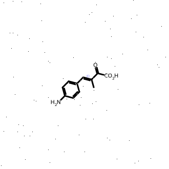 C/C(=C\c1ccc(N)cc1)C(=O)C(=O)O